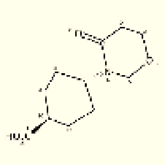 O=C1CCOCN1[C@H]1CC[C@H](C(=O)O)CC1